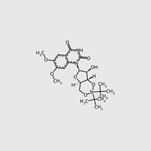 COc1cc2c(=O)[nH]c(=O)n([C@@H]3O[C@@H]4CO[Si](C(C)(C)C)(C(C)(C)C)O[C@H]4[C@@H]3O)c2cc1OC